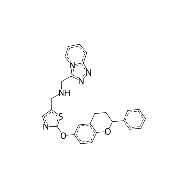 c1ccc(C2CCc3cc(Oc4ncc(CNCc5nnc6ccccn56)s4)ccc3O2)cc1